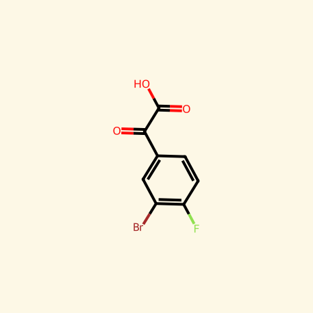 O=C(O)C(=O)c1ccc(F)c(Br)c1